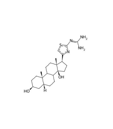 C[C@]12CC[C@H](O)C[C@H]1CCC1C2CC[C@]2(C)[C@@H](c3csc(N=C(N)N)n3)CC[C@]12O